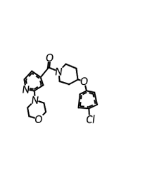 O=C(c1ccnc(N2CCOCC2)c1)N1CCC(Oc2ccc(Cl)cc2)CC1